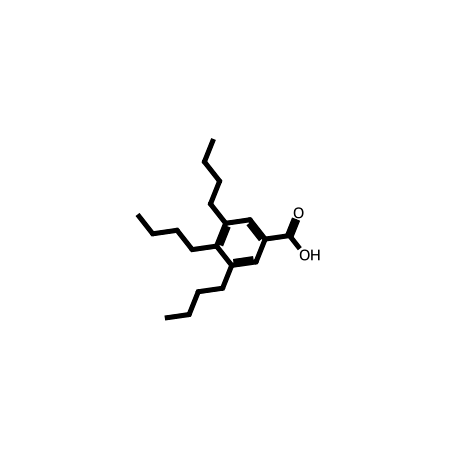 CCCCc1cc(C(=O)O)cc(CCCC)c1CCCC